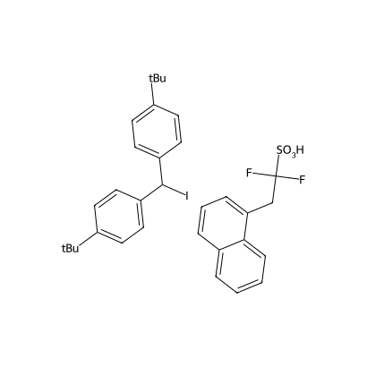 CC(C)(C)c1ccc(C(I)c2ccc(C(C)(C)C)cc2)cc1.O=S(=O)(O)C(F)(F)Cc1cccc2ccccc12